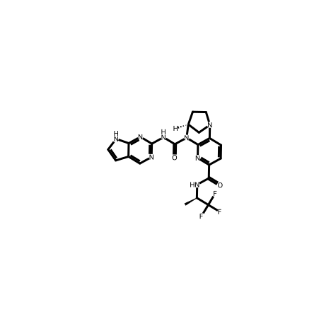 C[C@@H](NC(=O)c1ccc2c(n1)N(C(=O)Nc1ncc3cc[nH]c3n1)[C@H]1CCN2C1)C(F)(F)F